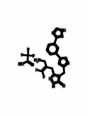 NCC(Cc1n[nH]c(=O)n1Cc1cc(-c2cccc(-c3nc[nH]n3)c2)cs1)=C(F)F.O=C(O)C(F)(F)F